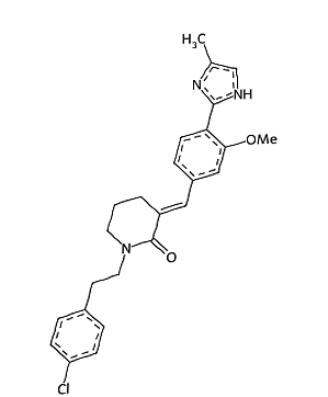 COc1cc(/C=C2\CCCN(CCc3ccc(Cl)cc3)C2=O)ccc1-c1nc(C)c[nH]1